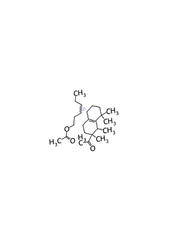 CC(=O)C1(C)CCC2=C(C1C)C(C)(C)CCC2.CC/C=C\CCOC(C)=O